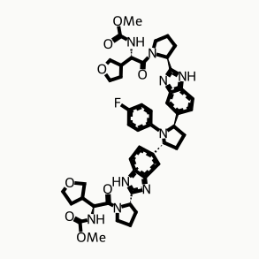 COC(=O)N[C@H](C(=O)N1CCC[C@H]1c1nc2cc([C@H]3CC[C@H](c4ccc5[nH]c([C@@H]6CCCN6C(=O)[C@@H](NC(=O)OC)C6CCOC6)nc5c4)N3c3ccc(F)cc3)ccc2[nH]1)C1CCOC1